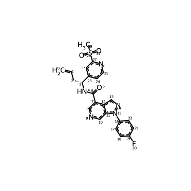 C=CC[C@@H](NC(=O)c1cncc2c1cnn2-c1ccc(F)cc1)c1ccnc(S(C)(=O)=O)c1